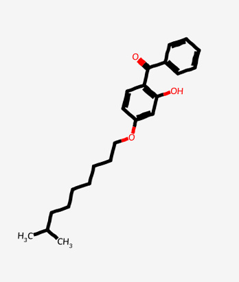 CC(C)CCCCCCCOc1ccc(C(=O)c2ccccc2)c(O)c1